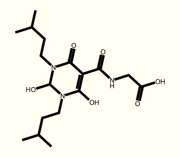 CC(C)CCN1C(=O)C(C(=O)NCC(=O)O)=C(O)N(CCC(C)C)C1O